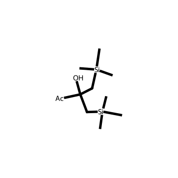 CC(=O)C(O)(C[Si](C)(C)C)C[Si](C)(C)C